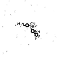 C=C(NCc1ccc2c(c1)[nH]c1cc(F)c(F)cc12)c1ccc(CN)cc1